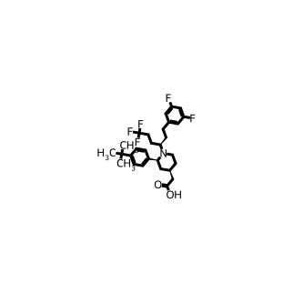 CC(C)(C)c1ccc([C@@H]2C[C@H](CC(=O)O)CCN2[C@H](CCc2cc(F)cc(F)c2)CCC(F)(F)F)cc1